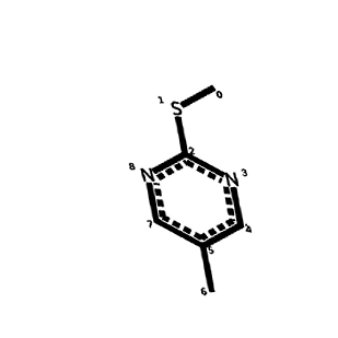 CSc1n[c]c(C)cn1